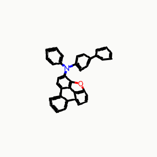 c1ccc(-c2ccc(N(c3ccccc3)c3ccc4c5ccccc5c5cccc6oc3c4c65)cc2)cc1